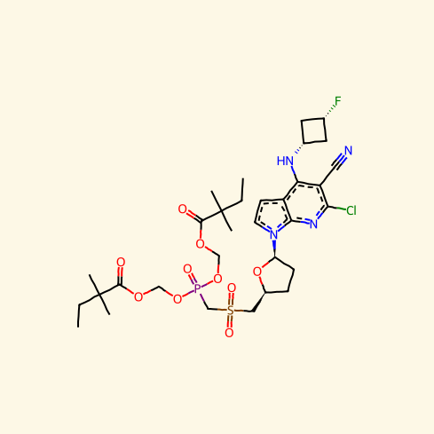 CCC(C)(C)C(=O)OCOP(=O)(CS(=O)(=O)C[C@@H]1CC[C@H](n2ccc3c(N[C@H]4C[C@@H](F)C4)c(C#N)c(Cl)nc32)O1)OCOC(=O)C(C)(C)CC